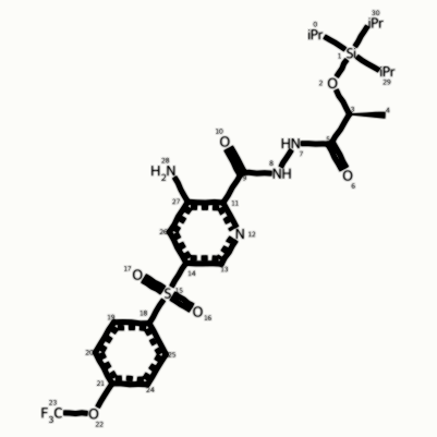 CC(C)[Si](O[C@@H](C)C(=O)NNC(=O)c1ncc(S(=O)(=O)c2ccc(OC(F)(F)F)cc2)cc1N)(C(C)C)C(C)C